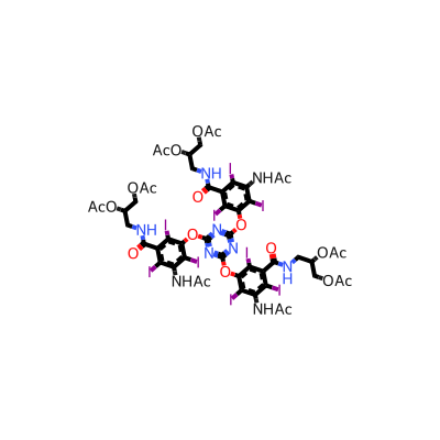 CC(=O)Nc1c(I)c(Oc2nc(Oc3c(I)c(NC(C)=O)c(I)c(C(=O)NCC(COC(C)=O)OC(C)=O)c3I)nc(Oc3c(I)c(NC(C)=O)c(I)c(C(=O)NCC(COC(C)=O)OC(C)=O)c3I)n2)c(I)c(C(=O)NCC(COC(C)=O)OC(C)=O)c1I